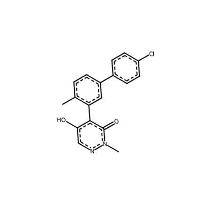 Cc1ccc(-c2ccc(Cl)cc2)cc1-c1c(O)cnn(C)c1=O